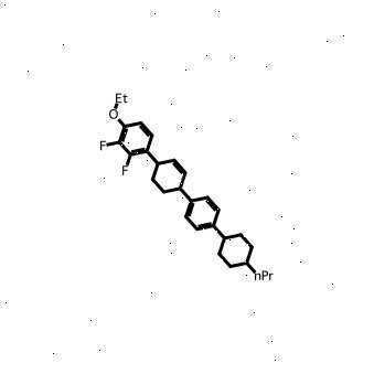 CCCC1CCC(c2ccc(C3C=CC(c4ccc(OCC)c(F)c4F)CC3)cc2)CC1